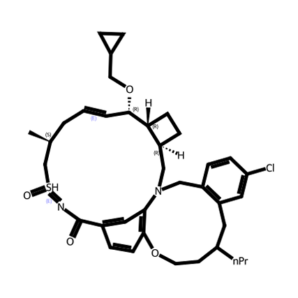 CCCC1CCOc2ccc3cc2N(Cc2ccc(Cl)cc2C1)C[C@@H]1CC[C@H]1[C@@H](OCC1CC1)/C=C/C[C@H](C)C/[SH](=O)=N\C3=O